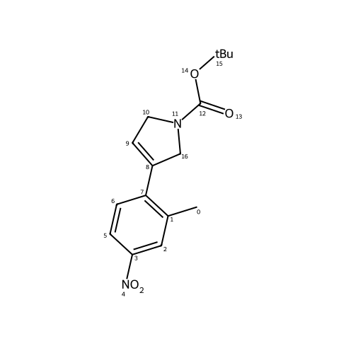 Cc1cc([N+](=O)[O-])ccc1C1=CCN(C(=O)OC(C)(C)C)C1